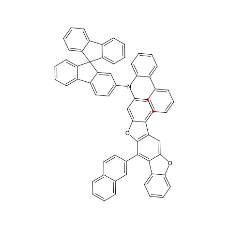 c1ccc(-c2ccccc2N(c2ccc3c(c2)C2(c4ccccc4-c4ccccc42)c2ccccc2-3)c2ccc3c(c2)oc2c(-c4ccc5ccccc5c4)c4c(cc23)oc2ccccc24)cc1